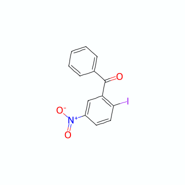 O=C(c1ccccc1)c1cc([N+](=O)[O-])ccc1I